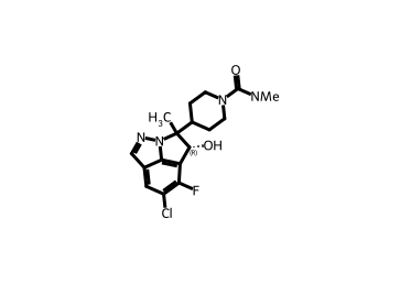 CNC(=O)N1CCC(C2(C)[C@H](O)c3c(F)c(Cl)cc4cnn2c34)CC1